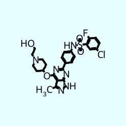 Cc1n[nH]c2nc(-c3ccc(NS(=O)(=O)c4cc(Cl)ccc4F)cc3)nc(OC3CCN(CCO)CC3)c12